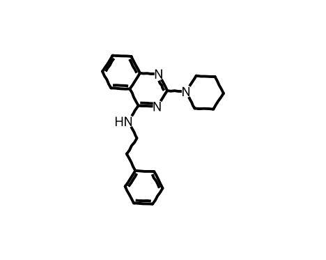 c1ccc(CCNc2nc(N3CCCCC3)nc3ccccc23)cc1